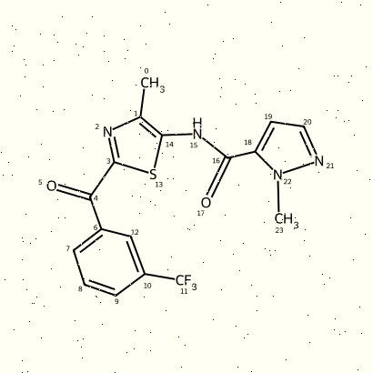 Cc1nc(C(=O)c2cccc(C(F)(F)F)c2)sc1NC(=O)c1ccnn1C